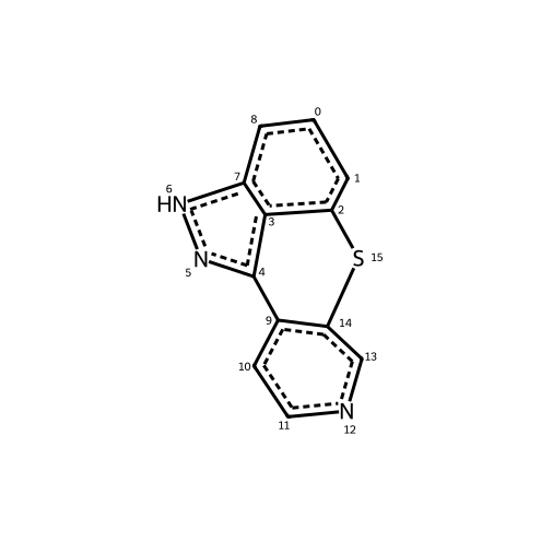 c1cc2c3c(n[nH]c3c1)-c1ccncc1S2